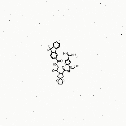 N=C(N)c1csc([C@@H](CO)NC(=O)C2CC3(CN2C(=O)CNC(=O)c2ccc4c(c2)-c2ccccc2C4(F)F)OCCO3)c1